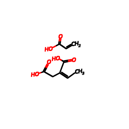 C=CC(=O)O.CC=C(CC(=O)O)C(=O)O